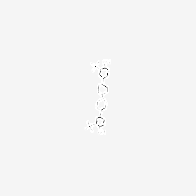 CC(C)(C)c1cc(C2=CCC(C3CC=C(c4ccc(O)c(C(C)(C)C)c4)CC3)CC2)ccc1O